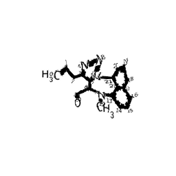 CCCc1nnn2c1C(C=O)N(C)c1cccc3cccc-2c13